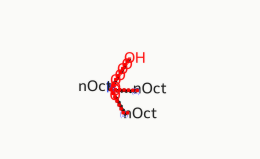 CCCCCCCC/C=C\CCCCCCCCOCC(CN(CCCCCCCC)C(=O)CCOCCOCCOCCOCCO)OCCCCCCCC/C=C\CCCCCCCC